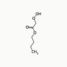 CCCCOC(=O)COO